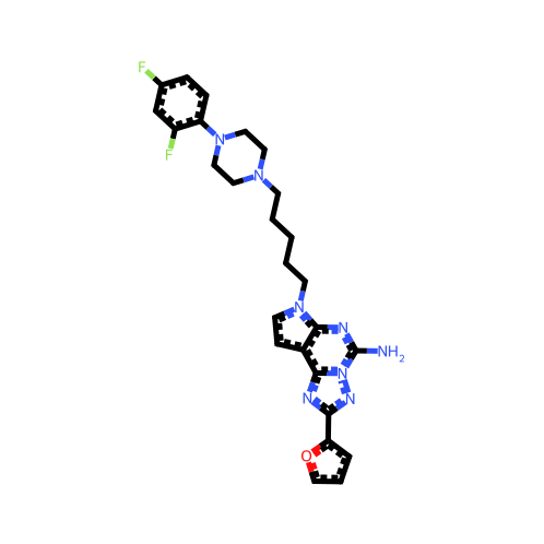 Nc1nc2c(ccn2CCCCCN2CCN(c3ccc(F)cc3F)CC2)c2nc(-c3ccco3)nn12